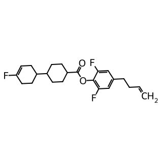 C=CCCc1cc(F)c(OC(=O)C2CCC(C3CC=C(F)CC3)CC2)c(F)c1